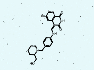 O=C1NC(=O)c2ccc(I)cc2C1=CNc1ccc(CN2CCCCC2CO)cc1